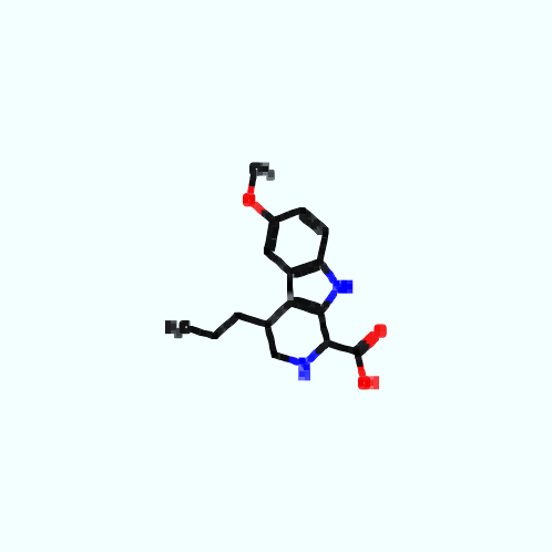 CCCC1CNC(C(=O)O)c2[nH]c3ccc(OC)cc3c21